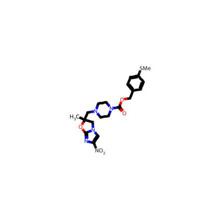 CSc1ccc(COC(=O)N2CCN(CC3(C)Cn4cc([N+](=O)[O-])nc4O3)CC2)cc1